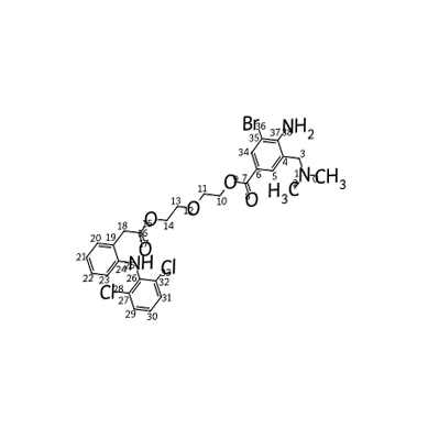 CN(C)Cc1cc(C(=O)OCCOCCOC(=O)Cc2ccccc2Nc2c(Cl)cccc2Cl)cc(Br)c1N